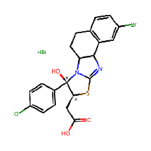 Br.O=C(O)C[C@@H]1SC2=NC3c4cc(Br)ccc4CCC3N2[C@@]1(O)c1ccc(Cl)cc1